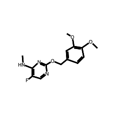 CNc1nc(OCc2ccc(OC)c(OC)c2)ncc1F